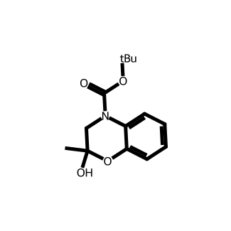 CC(C)(C)OC(=O)N1CC(C)(O)Oc2ccccc21